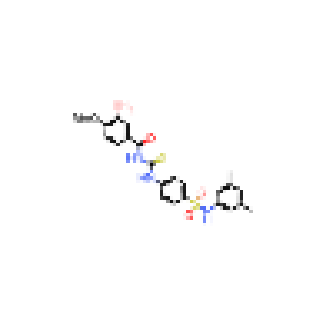 Bc1cc(C(=O)NC(=S)Nc2ccc(S(=O)(=O)Nc3cc(C)cc(C)c3)cc2)ccc1OC